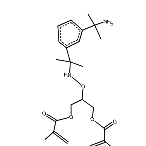 C=C(C)C(=O)OCC(COC(=O)C(=C)C)ONC(C)(C)c1cccc(C(C)(C)N)c1